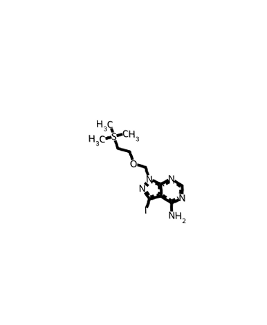 CS(C)(C)CCOCn1nc(I)c2c(N)ncnc21